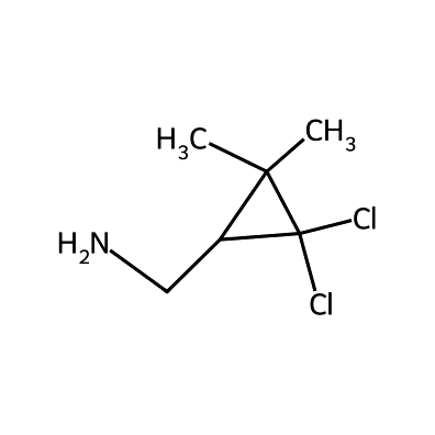 CC1(C)C(CN)C1(Cl)Cl